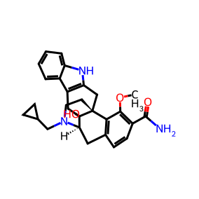 COc1c(C(N)=O)ccc2c1[C@]13CCN(CC4CC4)[C@H](C2)[C@]1(O)Cc1c([nH]c2ccccc12)C3